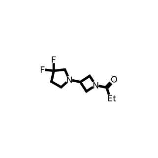 CCC(=O)N1CC(N2CCC(F)(F)C2)C1